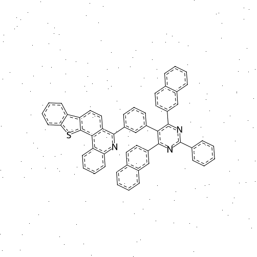 c1ccc(-c2nc(-c3ccc4ccccc4c3)c(-c3cccc(-c4nc5ccccc5c5c4ccc4c6ccccc6sc45)c3)c(-c3ccc4ccccc4c3)n2)cc1